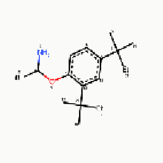 CCC(C)C(N)Oc1ccc(C(C)(C)CC)cc1C(C)(C)CC